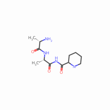 C[C@H](N)C(=O)N[C@@H](C)C(=O)NC(=O)C1CCCC[N]1